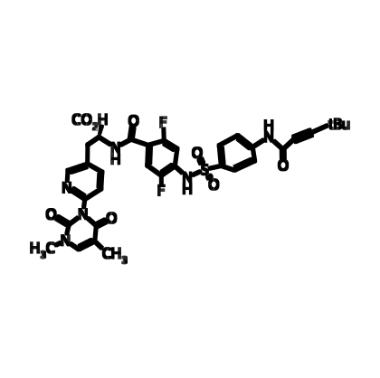 Cc1cn(C)c(=O)n(-c2ccc(C[C@H](NC(=O)c3cc(F)c(NS(=O)(=O)c4ccc(NC(=O)C#CC(C)(C)C)cc4)cc3F)C(=O)O)cn2)c1=O